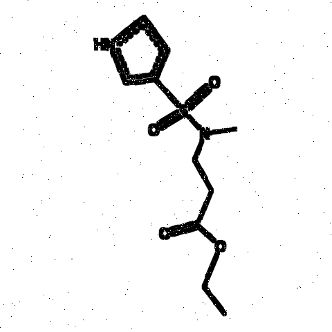 CCOC(=O)CCN(C)S(=O)(=O)c1cc[nH]c1